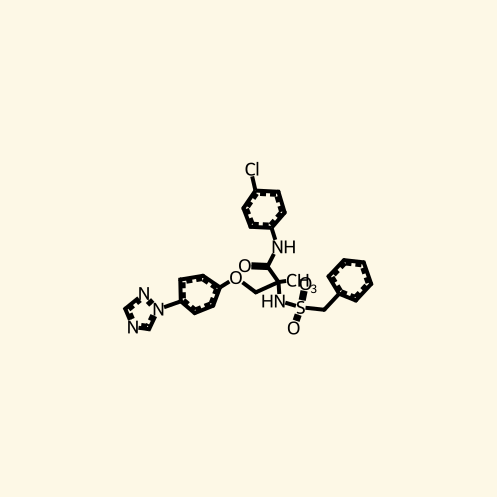 CC(COc1ccc(-n2cncn2)cc1)(NS(=O)(=O)Cc1ccccc1)C(=O)Nc1ccc(Cl)cc1